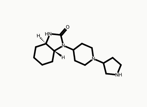 O=C1N[C@@H]2CCCC[C@H]2N1C1CCN(C2CCNC2)CC1